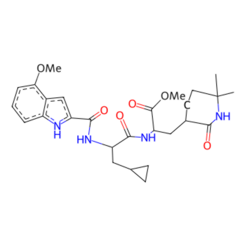 COC(=O)C(CC1CCC(C)(C)NC1=O)NC(=O)C(CC1CC1)NC(=O)c1cc2c(OC)cccc2[nH]1